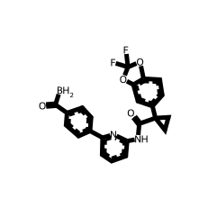 BC(=O)c1ccc(-c2cccc(NC(=O)C3(c4ccc5c(c4)OC(F)(F)O5)CC3)n2)cc1